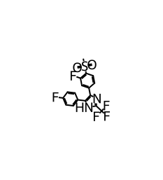 CS(=O)(=O)c1ccc(-c2nc(C(F)(F)F)[nH]c2-c2ccc(F)cc2)cc1F